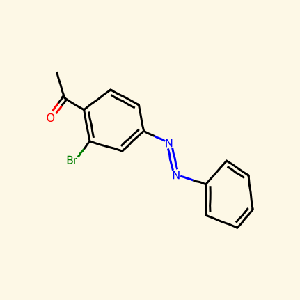 CC(=O)c1ccc(/N=N/c2ccccc2)cc1Br